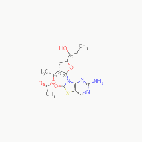 CC[C@H](O)C1C[C@@H]([C@@H](C)OC(C)=O)[C@H](n2c(=O)sc3cnc(N)nc32)O1